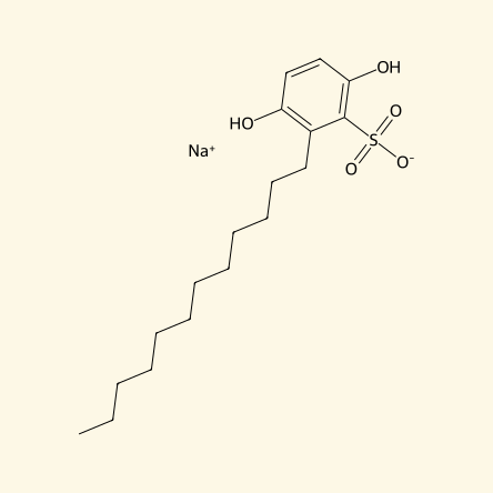 CCCCCCCCCCCCc1c(O)ccc(O)c1S(=O)(=O)[O-].[Na+]